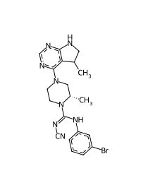 CC1CNc2ncnc(N3CCN(/C(=N/C#N)Nc4cccc(Br)c4)[C@@H](C)C3)c21